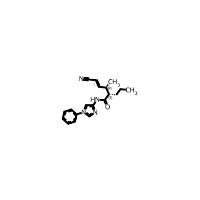 CCC[C@H](C(=O)Nc1cn(-c2ccccc2)cn1)[C@H](C)/C=C/C#N